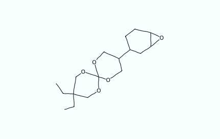 CCC1(CC)COC2(OCC(C3CCC4OC4C3)CO2)OC1